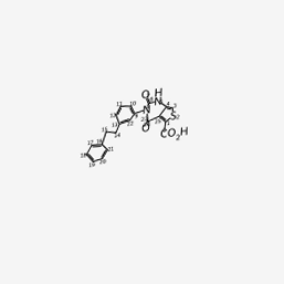 O=C(O)c1scc2[nH]c(=O)n(-c3cccc(CCc4ccccc4)c3)c(=O)c12